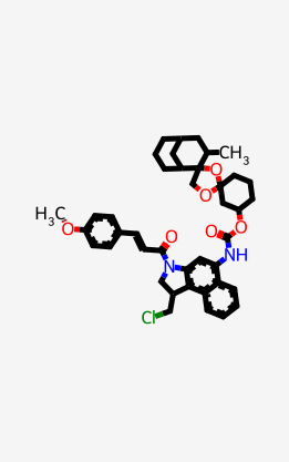 COc1ccc(/C=C/C(=O)N2CC(CCl)c3c2cc(NC(=O)OC2CCCC4(C2)OCC2(O4)C(C)CC4CCCC2C4)c2ccccc32)cc1